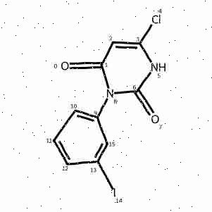 O=c1cc(Cl)[nH]c(=O)n1-c1cccc(I)c1